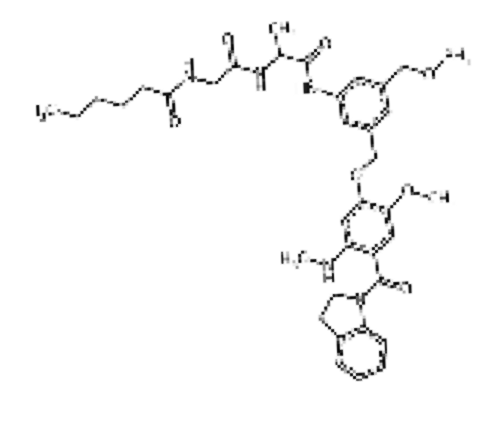 CCCCCC(=O)NCC(=O)NC(C)C(=O)Nc1cc(COP)cc(COc2cc(NC)c(C(=O)N3CCc4ccccc43)cc2OC)c1